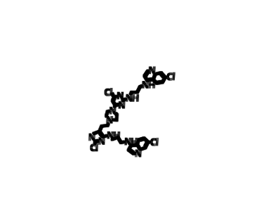 Clc1ccc2c(NCCCNc3nc(Cl)cc(N4CCN(CCc5cnc(Cl)nc5NCCCNc5ccnc6cc(Cl)ccc56)CC4)n3)ccnc2c1